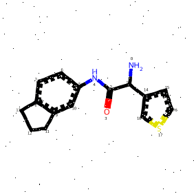 NC(C(=O)Nc1ccc2c(c1)CCC2)c1ccsc1